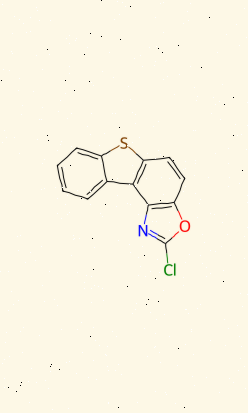 Clc1nc2c(ccc3sc4ccccc4c32)o1